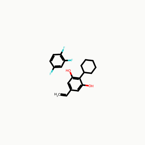 C=Cc1cc(O)c(C2CCCCC2)c(O)c1.Fc1ccc(F)c(F)c1